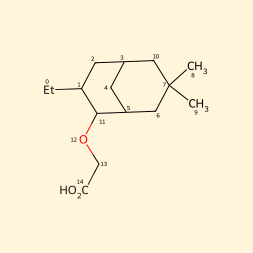 CCC1CC2CC(CC(C)(C)C2)C1OCC(=O)O